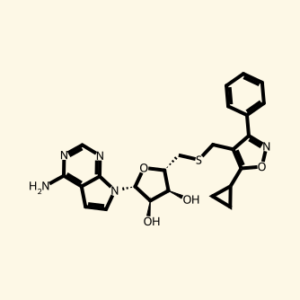 Nc1ncnc2c1ccn2[C@@H]1O[C@H](CSCc2c(-c3ccccc3)noc2C2CC2)[C@@H](O)[C@H]1O